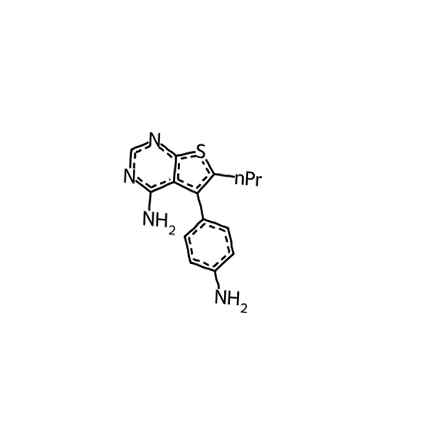 CCCc1sc2ncnc(N)c2c1-c1ccc(N)cc1